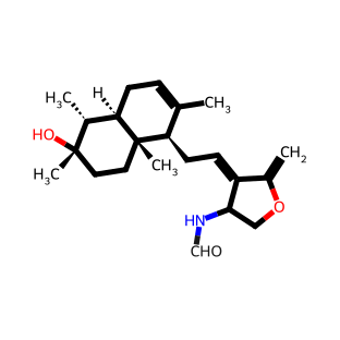 C=C1OCC(NC=O)/C1=C\C[C@@H]1C(C)=CC[C@@H]2[C@@H](C)[C@@](C)(O)CC[C@@]12C